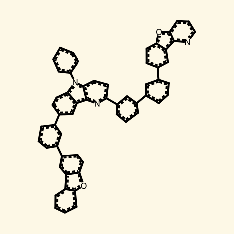 c1ccc(-n2c3ccc(-c4cccc(-c5ccc6oc7ccccc7c6c5)c4)cc3c3nc(-c4cccc(-c5cccc(-c6ccc7oc8cccnc8c7c6)c5)c4)ccc32)cc1